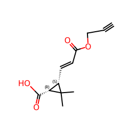 C#CCOC(=O)C=C[C@H]1[C@@H](C(=O)O)C1(C)C